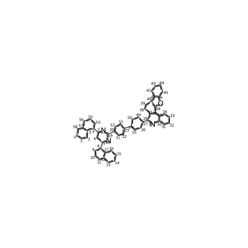 c1ccc2c(-c3cc(-c4cccc5ccccc45)nc(-c4ccc(-c5ccc(-c6nc7ccccc7c7c6ccc6c8ccccc8oc67)cc5)cc4)n3)cccc2c1